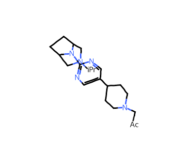 CC(=O)CN1CCC(c2cnc(N3C4CCC3CN(C(C)C)C4)nc2)CC1